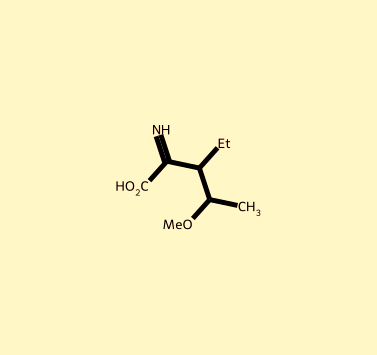 CCC(C(=N)C(=O)O)C(C)OC